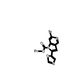 CC(C)OC(=O)n1c(-c2cnco2)cc2cnc(Br)cc21